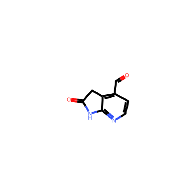 O=Cc1ccnc2c1CC(=O)N2